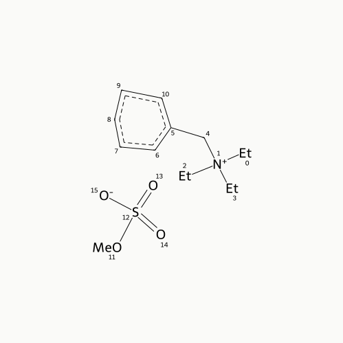 CC[N+](CC)(CC)Cc1ccccc1.COS(=O)(=O)[O-]